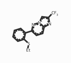 CCSc1ccccc1-c1ccc2nc(C(F)(F)F)cn2n1